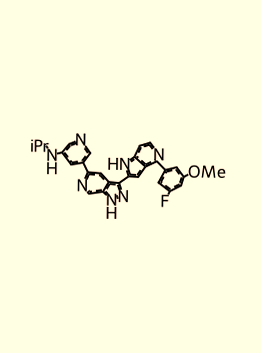 COc1cc(F)cc(-c2nccc3[nH]c(-c4n[nH]c5cnc(-c6cncc(NC(C)C)c6)cc45)cc23)c1